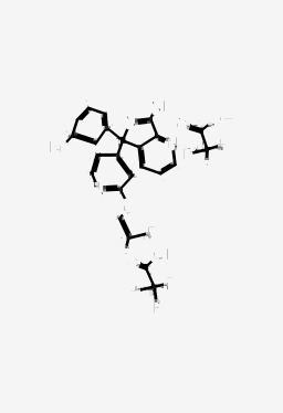 NC1=NC(c2cccc(Br)c2)(c2ccnc(OC=C(F)F)c2)c2cccnc21.O=C(O)C(F)(F)F.O=C(O)C(F)(F)F